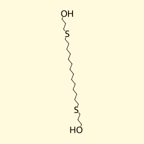 OCCCSCCCCCCCCCCCCCCSCCCO